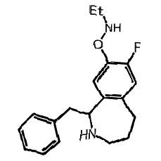 CCNOc1cc2c(cc1F)CCCNC2Cc1ccccc1